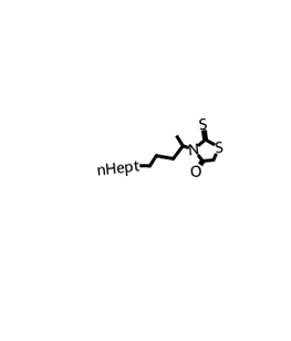 CCCCCCCCCCC(C)N1C(=O)CSC1=S